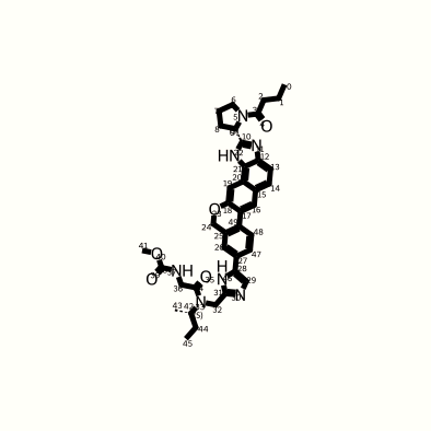 CCCC(=O)N1CCC[C@H]1c1nc2ccc3cc4c(cc3c2[nH]1)OCc1cc(-c2cnc(CN(C(=O)CNC(=O)OC)[C@@H](C)CC)[nH]2)ccc1-4